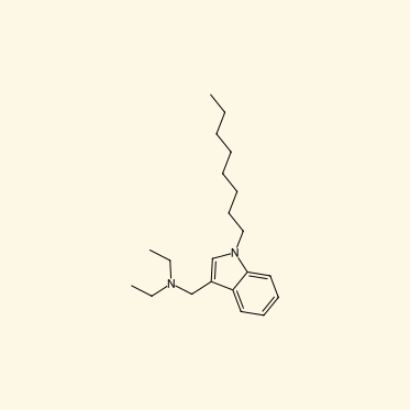 CCCCCCCCn1cc(CN(CC)CC)c2ccccc21